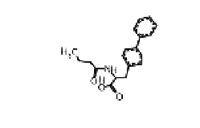 CCCC(=O)NC(Cc1ccc(-c2ccccc2)cc1)C(=O)O